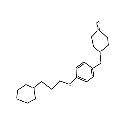 CC(C)N1CCN(Cc2ccc(OCCCN3CCSCC3)cc2)CC1